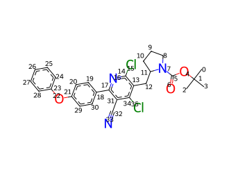 CC(C)(C)OC(=O)N1CCCC1Cc1c(Cl)nc(-c2ccc(Oc3ccccc3)cc2)c(C#N)c1Cl